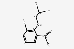 O=[N+]([O-])c1cccc(F)c1OCC(F)F